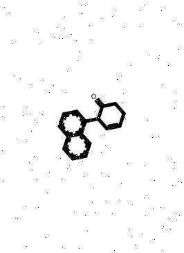 O=C1CCC=CC1c1cccc2ccccc12